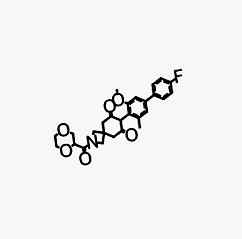 COc1cc(-c2ccc(F)cc2)cc(C)c1C1C(=O)CC2(CC1=O)CN(C(=O)C1COCCO1)C2